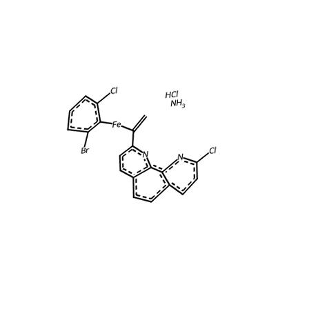 C=[C]([Fe][c]1c(Cl)cccc1Br)c1ccc2ccc3ccc(Cl)nc3c2n1.Cl.N